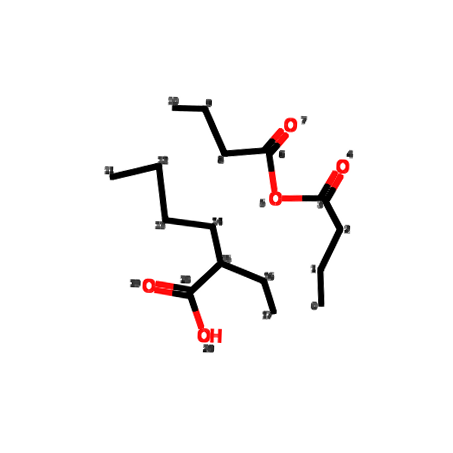 CCCC(=O)OC(=O)CCC.CCCCC(CC)C(=O)O